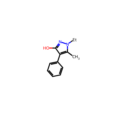 CCn1nc(O)c(-c2ccccc2)c1C